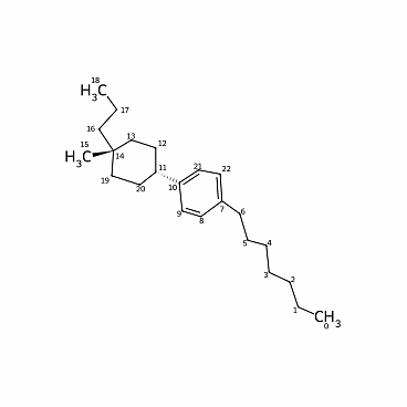 CCCCCCCc1ccc([C@H]2CC[C@@](C)(CCC)CC2)cc1